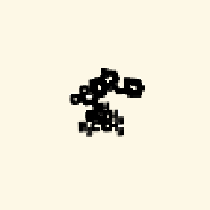 CC(C)(C)[S+]([O-])NC(CC(=O)O)c1ccc2c(c1)N(Cc1ccccc1)CCS2